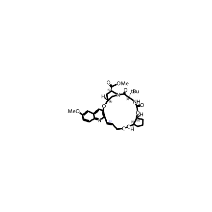 COC(=O)[C@@H]1C[C@@H]2CN1C(=O)[C@H](C(C)(C)C)NC(=O)O[C@@H]1CCC[C@H]1CCC/C=C/c1nc3ccc(OC)cc3cc1O2